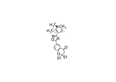 C=N/C(C)=C(\C=C/C)c1noc(-c2ccc3c(c2)C(=O)CC(CC)(CC)O3)n1